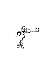 COC(=O)CCC/C=C\C[C@H]1[C@H](COCCCc2ccccc2)[C@@H]2C[C@@]1(c1ccc(F)cc1)CO2